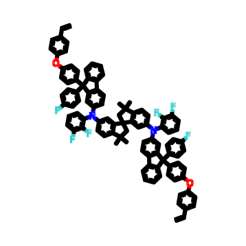 C=Cc1ccc(Oc2ccc(C3(c4ccc(F)cc4)c4ccccc4-c4ccc(N(c5ccc6c(c5)C5(CC6(C)C)CC(C)(C)c6ccc(N(c7ccc8c(c7)C(c7ccc(F)cc7)(c7ccc(Oc9ccc(C=C)cc9)cc7)c7ccccc7-8)c7cccc(F)c7F)cc65)c5cccc(F)c5F)cc43)cc2)cc1